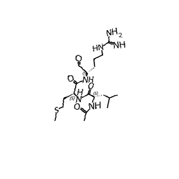 CSCC[C@H](NC(=O)[C@H](CC(C)C)NC(C)=O)C(=O)N[C@H](C=O)CCCNC(=N)N